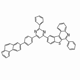 c1ccc(-c2nc(-c3ccc(-c4ccc5c(ccc6ccccc65)c4)cc3)cc(-c3ccc4sc5c(-c6ccccc6)nc6ccccc6c5c4c3)n2)cc1